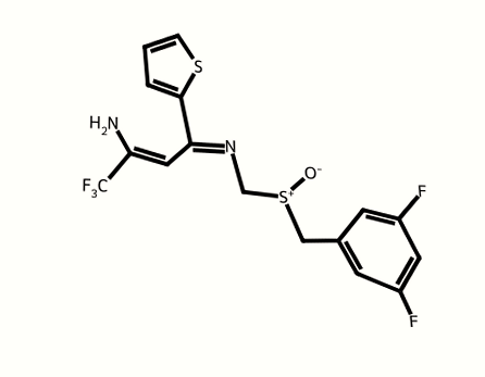 N/C(=C\C(=N/C[S+]([O-])Cc1cc(F)cc(F)c1)c1cccs1)C(F)(F)F